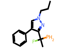 CCCn1cc(-c2ccccc2)c(C(C)(F)P)n1